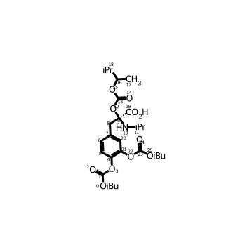 CC(C)COC(=O)Oc1ccc(C[C@](NC(C)C)(OC(=O)OC(C)C(C)C)C(=O)O)cc1OC(=O)OCC(C)C